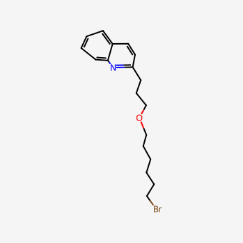 BrCCCCCCOCCCc1ccc2ccccc2n1